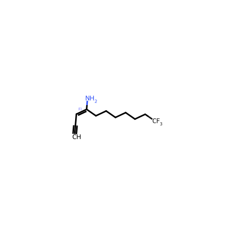 C#C/C=C(/N)CCCCCCC(F)(F)F